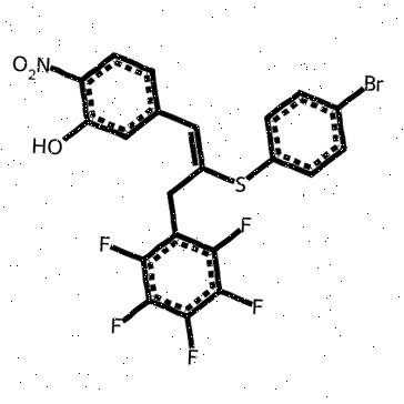 O=[N+]([O-])c1ccc(/C=C(\Cc2c(F)c(F)c(F)c(F)c2F)Sc2ccc(Br)cc2)cc1O